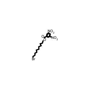 O=C(OCCCCCCCCCCCBr)c1cc([N+](=O)[O-])cc([N+](=O)[O-])c1